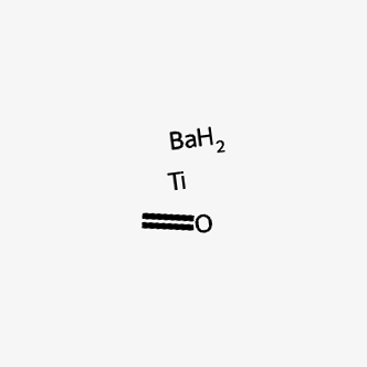 C=O.[BaH2].[Ti]